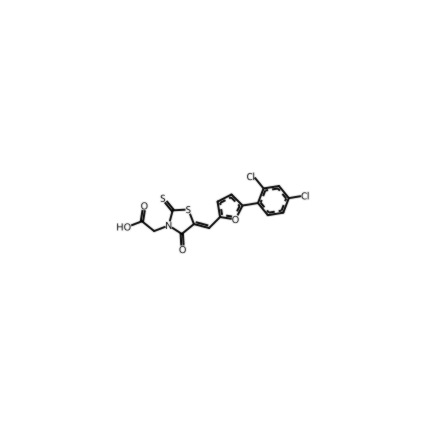 O=C(O)CN1C(=O)C(=Cc2ccc(-c3ccc(Cl)cc3Cl)o2)SC1=S